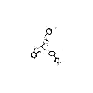 COc1ccc(Cn2nnc(C(COc3ccc(-c4c[nH][n+](C)c4)cc3)ON3C(=O)c4ccccc4C3=O)n2)cc1.[I-]